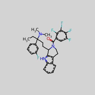 CCC(CCC1c2[nH]c3ccccc3c2CCN1C(=O)c1cc(F)c(F)c(F)c1F)(c1cccc(F)c1)N(C)C